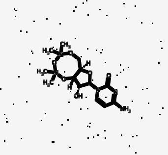 C[Si]1(C)OC[C@H]2OC(n3ccc(N)nc3=O)[C@H](O)[C@@H]2O[Si](C)(C)O1